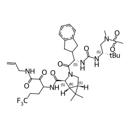 C=CCNC(=O)C(=O)C(CCC(F)(F)F)NC(=O)[C@@H]1[C@@H]2[C@H](CN1C(=O)[C@@H](NC(=O)N[C@H](CN(C)S(C)(=O)=O)C(C)(C)C)C1Cc3ccccc3C1)C2(C)C